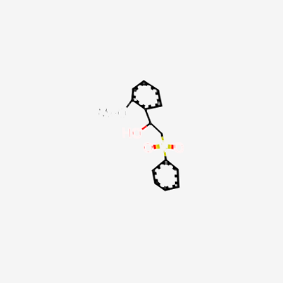 COc1ccccc1C(O)CS(=O)(=O)c1ccccc1